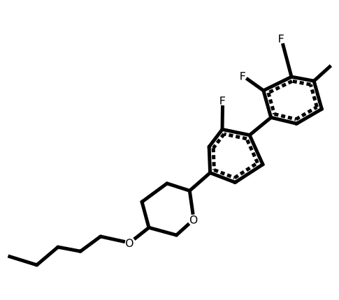 CCCCCOC1CCC(c2ccc(-c3ccc(C)c(F)c3F)c(F)c2)OC1